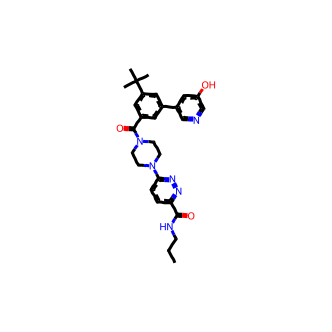 CCCNC(=O)c1ccc(N2CCN(C(=O)c3cc(-c4cncc(O)c4)cc(C(C)(C)C)c3)CC2)nn1